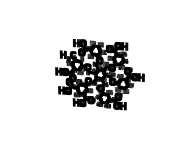 Cc1cc(OCc2c(COc3cccc(C(=O)O)c3)c(COc3cccc(C(=O)O)c3)c(COc3cccc(C(=O)O)c3)c(COc3cccc(C(=O)O)c3)c2COc2cc(C(=O)O)cc(C(=O)O)c2)cc(C(=O)O)c1